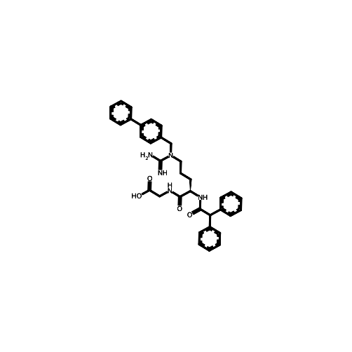 N=C(N)N(CCC[C@@H](NC(=O)C(c1ccccc1)c1ccccc1)C(=O)NCC(=O)O)Cc1ccc(-c2ccccc2)cc1